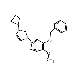 COc1ccc(N2C=CN(C3CCC3)C2)cc1OCc1ccccc1